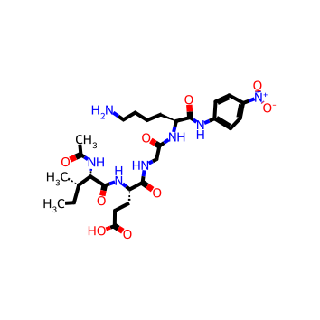 CC[C@H](C)[C@H](NC(C)=O)C(=O)N[C@@H](CCC(=O)O)C(=O)NCC(=O)N[C@@H](CCCCN)C(=O)Nc1ccc([N+](=O)[O-])cc1